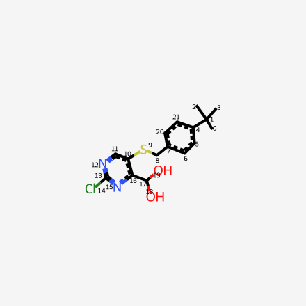 CC(C)(C)c1ccc(CSc2cnc(Cl)nc2C(O)O)cc1